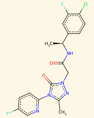 Cc1nn(CC(=O)N[C@@H](C)c2ccc(Cl)c(F)c2)c(=O)n1-c1ccc(F)cn1